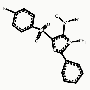 CC(C)[S+]([O-])c1c(S(=O)(=O)c2ccc(F)cc2)nc(-c2ccccc2)n1C